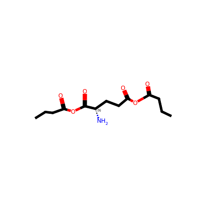 CCCC(=O)OC(=O)CC[C@H](N)C(=O)OC(=O)CCC